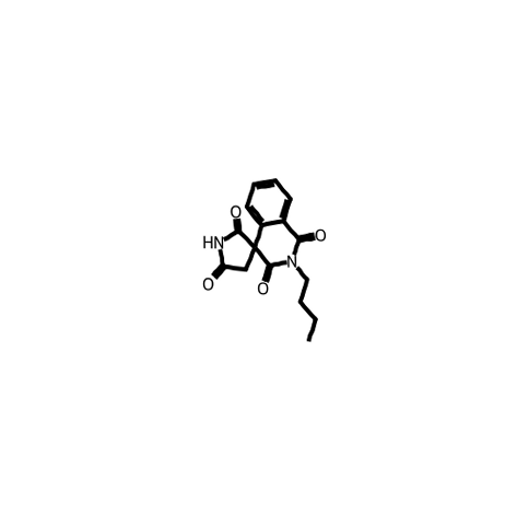 CCCCN1C(=O)c2ccccc2C2(CC(=O)NC2=O)C1=O